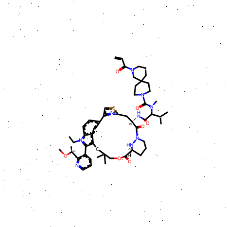 C=CC(=O)N1CCCC2(CCN(C(=O)N(C)C(C(=O)N[C@H]3Cc4nc(cs4)-c4ccc5c(c4)c(c(-c4cccnc4[C@H](C)OC)n5CC)CC(C)(C)COC(=O)[C@@H]4CCCN(N4)C3=O)C(C)C)CC2)C1